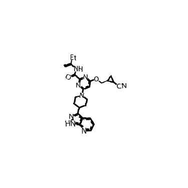 C=C(CC)NC(=O)c1nc(OC[C@H]2CC2C#N)cc(N2CCC(c3n[nH]c4ncccc34)CC2)n1